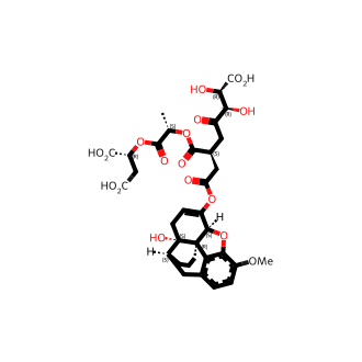 COc1ccc2c3c1O[C@@H]1C(OC(=O)C[C@H](CC(=O)[C@H](O)[C@@H](O)C(=O)O)C(=O)O[C@@H](C)C(=O)O[C@H](CC(=O)O)C(=O)O)=CC[C@]4(O)[C@@H](CCC[C@@]314)C2